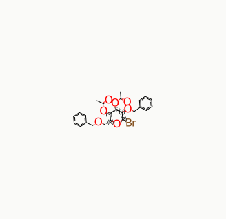 CC(=O)O[C@@H]1[C@@H](OCc2ccccc2)[C@@H](Br)O[C@H](COCc2ccccc2)[C@@H]1OC(C)=O